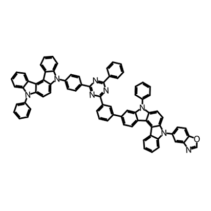 c1ccc(-c2nc(-c3ccc(-n4c5ccccc5c5c6c7ccccc7n(-c7ccccc7)c6ccc54)cc3)nc(-c3cccc(-c4ccc5c6c7c8ccccc8n(-c8ccc9ocnc9c8)c7ccc6n(-c6ccccc6)c5c4)c3)n2)cc1